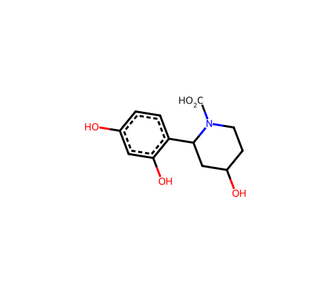 O=C(O)N1CCC(O)CC1c1ccc(O)cc1O